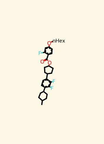 CCCCCCOc1ccc(C(=O)OC2CCC(c3ccc(C4CCC(C)CC4)c(F)c3F)CC2)c(F)c1